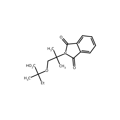 CCC(C)(OCC(C)(C)N1C(=O)c2ccccc2C1=O)C(=O)O